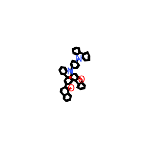 c1ccc(N(c2ccc(-n3c4ccccc4c4ccccc43)cc2)c2ccc3c(c2)oc2ccccc23)c(-c2ccc3oc4c5ccccc5ccc4c3c2)c1